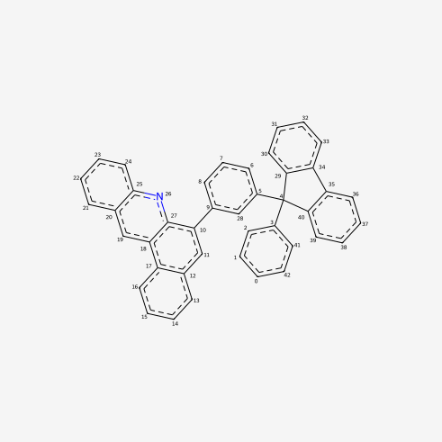 c1ccc(C2(c3cccc(-c4cc5ccccc5c5cc6ccccc6nc45)c3)c3ccccc3-c3ccccc32)cc1